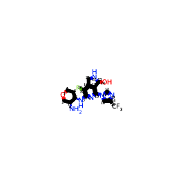 N[C@H]1COCC[C@H]1Nc1nc(-n2cnc(C(F)(F)F)c2)c2c(c1F)CNC2O